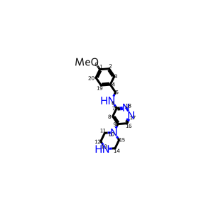 COc1ccc(CNc2cc(N3CCNCC3)cnn2)cc1